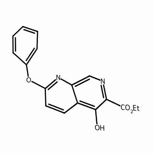 CCOC(=O)c1ncc2nc(Oc3ccccc3)ccc2c1O